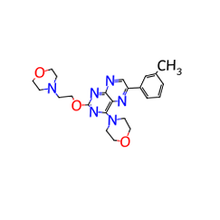 Cc1cccc(-c2cnc3nc(OCCN4CCOCC4)nc(N4CCOCC4)c3n2)c1